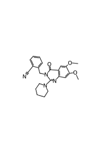 COc1cc2nc(N3CCCCC3)n(Cc3ccccc3C#N)c(=O)c2cc1OC